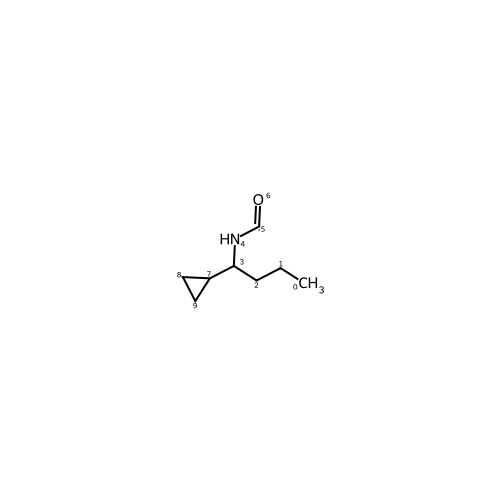 CCCC(N[C]=O)C1CC1